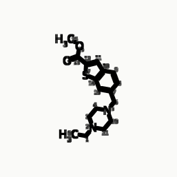 CCN1CCN(Cc2ccc3cc(C(=O)OC)sc3c2)CC1